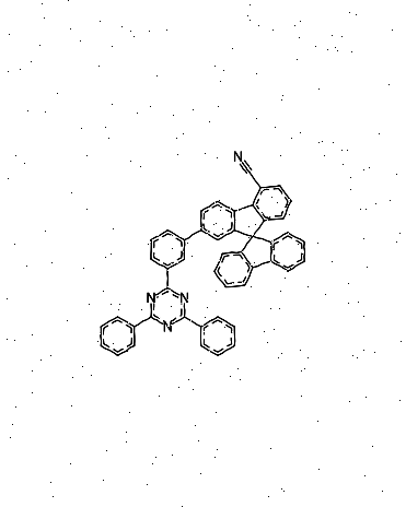 N#Cc1cccc2c1-c1ccc(-c3cccc(-c4nc(-c5ccccc5)nc(-c5ccccc5)n4)c3)cc1C21c2ccccc2-c2ccccc21